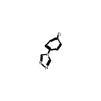 CCc1ccc(-n2cnnc2)cc1